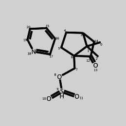 CC1(C)C2CCC1(CO[SH](=O)=O)C(=O)C2.c1ccncc1